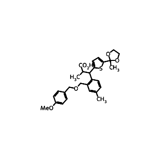 COc1ccc(COCc2cc(C)ccc2C(c2ccc(C3(C)OCCO3)s2)C(C)C(=O)O)cc1